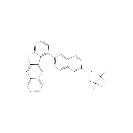 CC1(C)OB(c2ccc3cc(-c4cccc5sc6cc7ccccc7cc6c45)ccc3c2)OC1(C)C